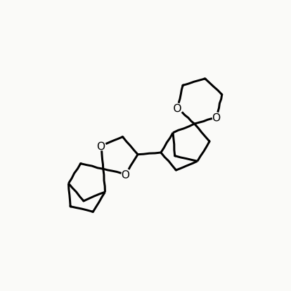 C1COC2(CC3CC(C4COC5(CC6CCC5C6)O4)C2C3)OC1